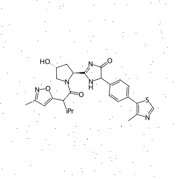 Cc1cc(C(C(=O)N2C[C@H](O)C[C@H]2C2=NC(=O)C(c3ccc(-c4scnc4C)cc3)N2)C(C)C)on1